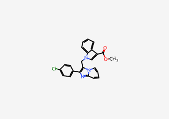 COC(=O)c1cn(Cc2c(-c3ccc(Cl)cc3)nc3ccccn23)c2ccccc12